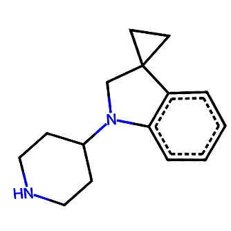 c1ccc2c(c1)N(C1CCNCC1)CC21CC1